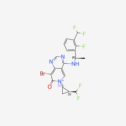 C[C@@H](Nc1ncnc2c1=C/[N+](=C1/C[C@@H]1C(F)F)C(=O)C=2Br)c1cccc(C(F)F)c1F